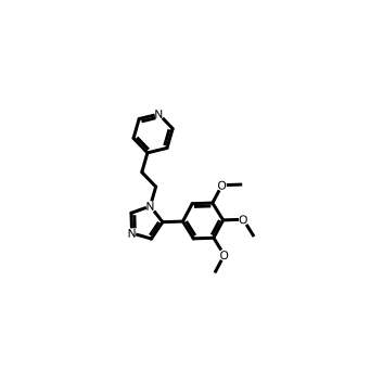 COc1cc(-c2cncn2CCc2ccncc2)cc(OC)c1OC